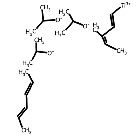 CC(C)[O-].CC(C)[O-].CC(C)[O-].CC=C(C)C=[CH][Ti+3].CC=CC=CC